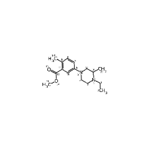 CCN1CCN(c2ccc(C)c(C(=O)OC)c2)CC1C